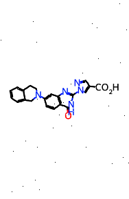 O=C(O)c1cnn(-c2nc3cc(N4CCc5ccccc5C4)ccc3c(=O)[nH]2)c1